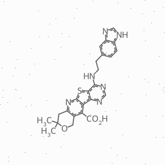 CC1(C)Cc2nc3sc4c(NCCc5ccc6[nH]cnc6c5)ncnc4c3c(C(=O)O)c2CO1